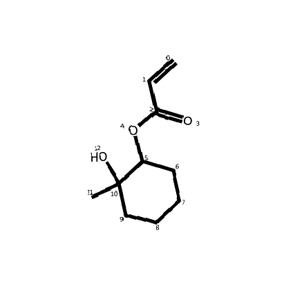 C=CC(=O)OC1CCCCC1(C)O